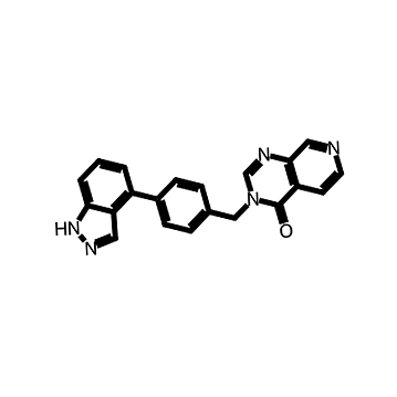 O=c1c2ccncc2ncn1Cc1ccc(-c2cccc3[nH]ncc23)cc1